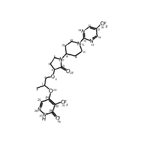 CC(COC1CCN(C2CCN(c3ncc(C(F)(F)F)cn3)CC2)C1=O)Oc1cn[nH]c(=O)c1C(F)(F)F